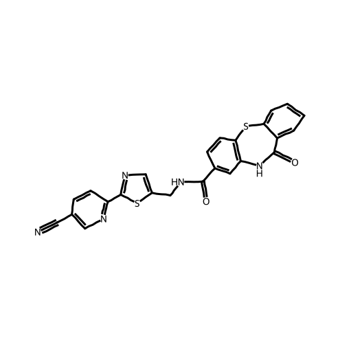 N#Cc1ccc(-c2ncc(CNC(=O)c3ccc4c(c3)NC(=O)c3ccccc3S4)s2)nc1